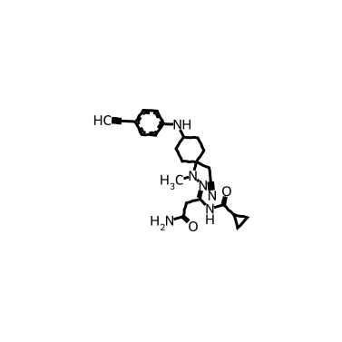 C#Cc1ccc(NC2CCC(CC#N)(N(C)/N=C(\CC(N)=O)NC(=O)C3CC3)CC2)cc1